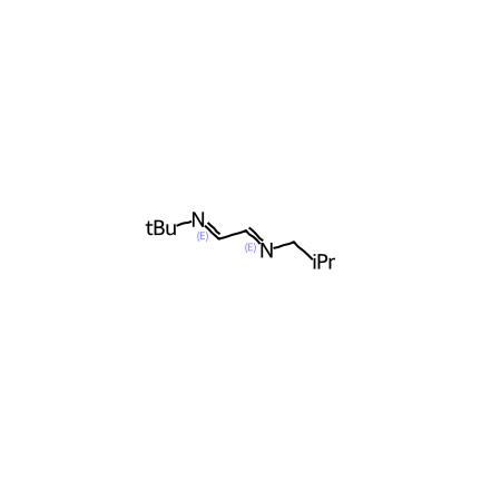 CC(C)C/N=C/C=N/C(C)(C)C